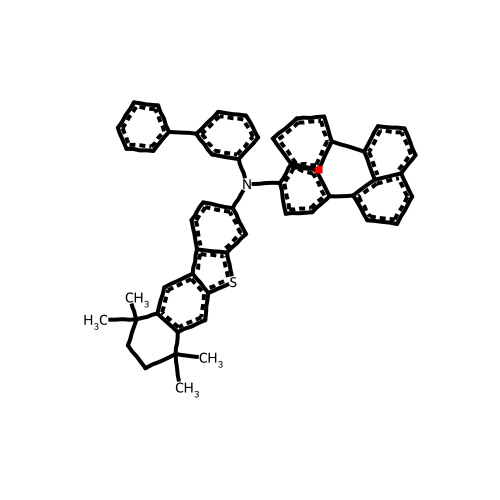 CC1(C)CCC(C)(C)c2cc3c(cc21)sc1cc(N(c2ccc(-c4cccc5cccc(-c6ccccc6)c45)cc2)c2cccc(-c4ccccc4)c2)ccc13